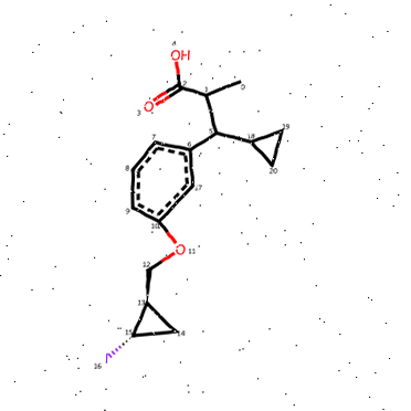 CC(C(=O)O)C(c1cccc(OC[C@H]2C[C@@H]2I)c1)C1CC1